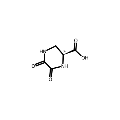 O=C1NC[C@@H](C(=O)O)NC1=O